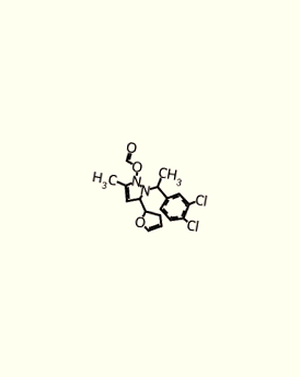 CC1=CC(C2CC=CO2)N(C(C)c2ccc(Cl)c(Cl)c2)N1OC=O